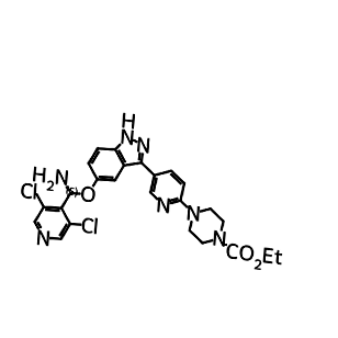 CCOC(=O)N1CCN(c2ccc(-c3n[nH]c4ccc(O[C@H](N)c5c(Cl)cncc5Cl)cc34)cn2)CC1